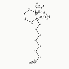 CCCCCCCCCCCCCCCCCC1(C(=O)O)CCCCC1(C)C(=O)O